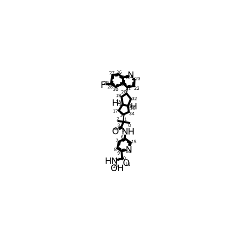 CC(C)(C(=O)Nc1ccc(C(=O)NO)nc1)[C@H]1C[C@H]2C[C@@H](c3ccnc4ccc(F)cc34)C[C@H]2C1